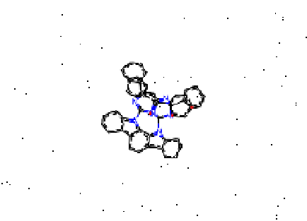 c1ccc(-c2cc(-c3ccccc3)nc(-n3c4ccccc4c4ccc5c6ccccc6n(-c6nc(-c7ccccc7)nc(-c7ccccc7)n6)c5c43)n2)cc1